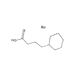 O=C(O)CCCC1CCCCC1.[Mo]